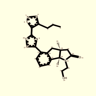 CCCc1nnsc1-c1nc(-c2cccc3c2C[C@H]2CC(=O)N(CCO)[C@@H]32)no1